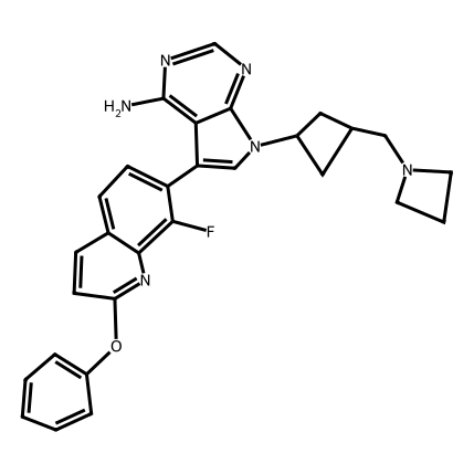 Nc1ncnc2c1c(-c1ccc3ccc(Oc4ccccc4)nc3c1F)cn2C1CC(CN2CCC2)C1